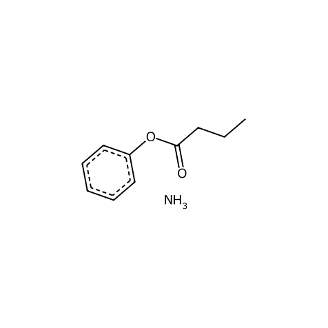 CCCC(=O)Oc1ccccc1.N